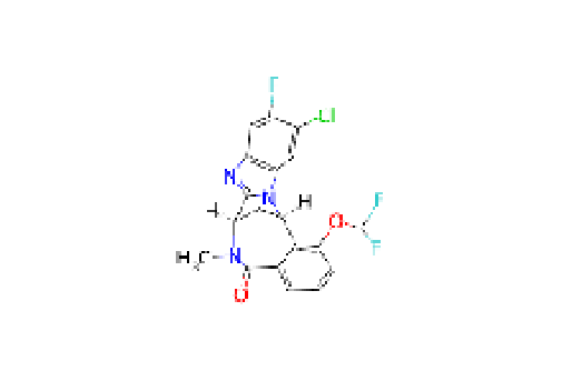 CN1C(=O)c2cccc(OC(F)F)c2[C@H]2C[C@@H]1c1nc3cc(F)c(Cl)cc3n12